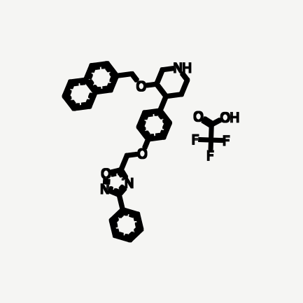 O=C(O)C(F)(F)F.c1ccc(-c2noc(COc3ccc(C4CCNCC4OCc4ccc5ccccc5c4)cc3)n2)cc1